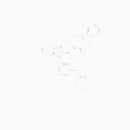 CC(C)N(C(=O)c1sc2ccccc2c1Cl)C(Cc1ccccc1CN1CCCCC1)c1nc2ccccc2[nH]1